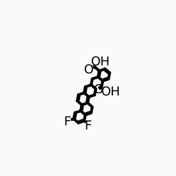 O=C(O)c1cccc(C(=O)O)c1CC1C=c2ccc3c(c2CC1)CC=c1c(F)cc(F)cc1=3